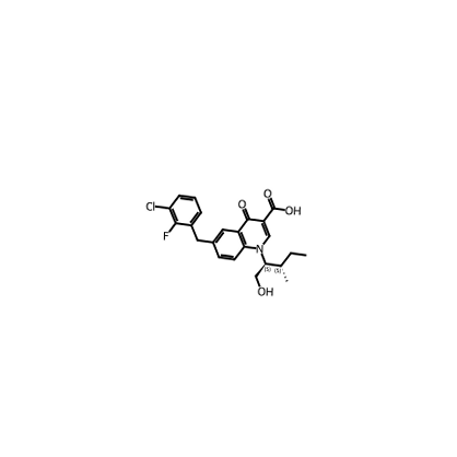 CC[C@H](C)[C@@H](CO)n1cc(C(=O)O)c(=O)c2cc(Cc3cccc(Cl)c3F)ccc21